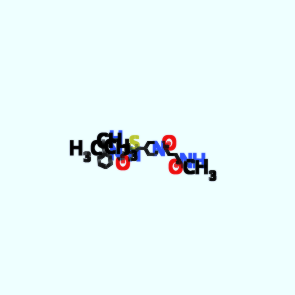 CNC(=O)CCC(=O)N1CCC(c2nc(C(=O)Nc3ccccc3C(C)(C)C)cs2)CC1